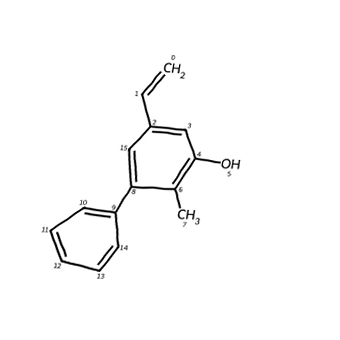 C=Cc1cc(O)c(C)c(-c2ccccc2)c1